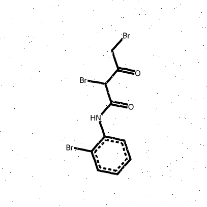 O=C(CBr)C(Br)C(=O)Nc1ccccc1Br